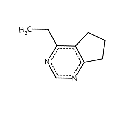 CCc1ncnc2c1CCC2